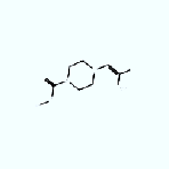 CCCCOC(=O)N1CCN(C=C(C#N)SC)CC1